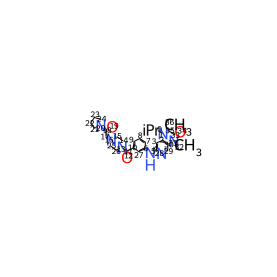 CC(C)N1c2cc(Nc3cccc(C(=O)N4CCN(CC(=O)N5CCCC5)CC4)c3)ncc2N(C)C(=O)C1C